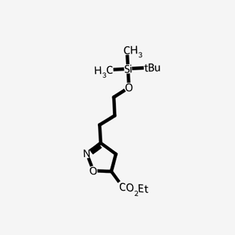 CCOC(=O)C1CC(CCCO[Si](C)(C)C(C)(C)C)=NO1